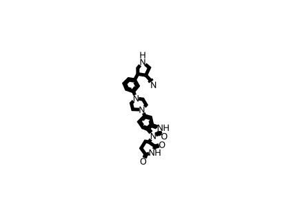 N#CC1CNCC1c1cccc(N2CCN(c3ccc4c(c3)[nH]c(=O)n4C3CCC(=O)NC3=O)CC2)c1